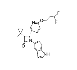 CC1([C@H]2C(=O)N(c3ccc4[nH]cnc4c3)[C@H]2c2ccc(OCCC(F)F)nc2)CC1